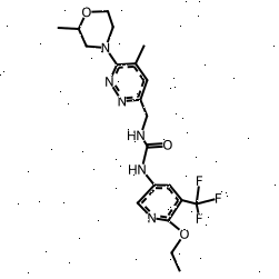 CCOc1ncc(NC(=O)NCc2cc(C)c(N3CCOC(C)C3)nn2)cc1C(F)(F)F